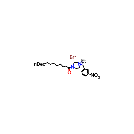 CCCCCCCCCCCCCCCCCC(=O)N1CC[N+](CC)(Cc2cccc([N+](=O)[O-])c2)CC1.[Br-]